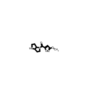 COc1cc(C(=O)N2CCC3NCCC32)on1